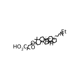 CCN(C)CCC[C@]12CCC[C@@H]1[C@H]1CCC3[C@@]4(C)CC[C@H](OC(=O)CC(C)(C)C(=O)O)C(C)(C)C4CC[C@@]3(C)[C@]1(C)CC2